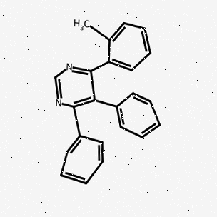 Cc1ccccc1-c1ncnc(-c2ccccc2)c1-c1ccccc1